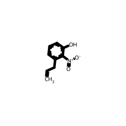 C=CCc1cccc(O)c1[N+](=O)[O-]